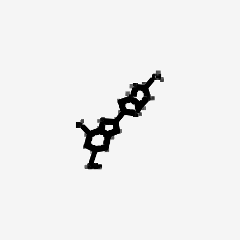 COc1cc(Br)c2oc(-c3cn4nc(C)sc4n3)cc2c1